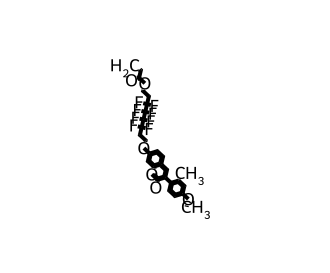 C=CC(=O)OCCC(F)(F)C(F)(F)C(F)(F)C(F)(F)CCOc1ccc2cc(-c3ccc(OC)cc3C)c(=O)oc2c1